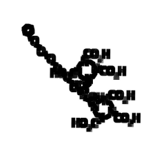 O=C(O)CN1CCN(CC(=O)O)CCN(CC(O)CN(CCOCCOCCOCCOCCOCCOCc2ccccc2)CC(O)CN2CCN(CC(=O)O)CCN(CC(=O)O)CCN(C(=O)O)CC2)CCN(CC(=O)O)CC1